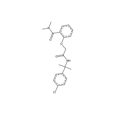 CN(C)C(=O)c1ccccc1OCC(=O)NC(C)(C)c1ccc(Cl)cc1